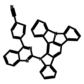 N#Cc1ccc(-c2nc(-n3c4ccccc4c4cc5c6ccccc6n6c7ccccc7c(c43)c56)nc3ccccc23)cc1